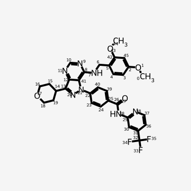 COc1ccc(CNc2ncnc3c(C4CCOCC4)nn(-c4ccc(C(=O)Nc5cc(C(F)(F)F)ccn5)cc4)c23)c(OC)c1